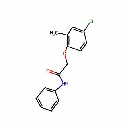 Cc1cc(Cl)ccc1OCC(=O)Nc1ccccc1